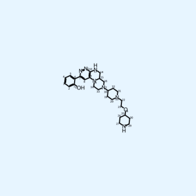 Oc1ccccc1-c1cc2c(nn1)NCC1CN(C3CCN(CCOC4CCNCC4)CC3)CCN21